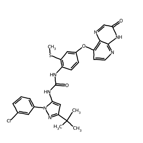 CSc1cc(Oc2ccnc3[nH]c(=O)cnc23)ccc1NC(=O)Nc1cc(C(C)(C)C)nn1-c1cccc(Cl)c1